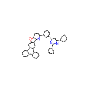 c1ccc(-c2cc(-c3cccc(-c4ccc5oc6cc7c8ccccc8c8ccccc8c7cc6c5n4)c3)nc(-c3ccccc3)n2)cc1